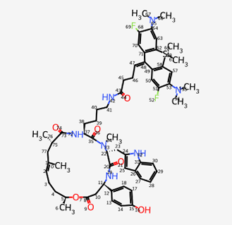 C/C1=C\CC[C@H](C)OC(=O)C[C@H](c2ccc(O)cc2)NC(=O)[C@@H](Cc2cc3ccccc3[nH]2)N(C)C(=O)[C@H](CCCCNC(=O)CCC=C2c3cc(F)c(N(C)C)cc3[Si](C)(C)c3cc(N(C)C)c(F)cc32)NC(=O)[C@@H](C)C1